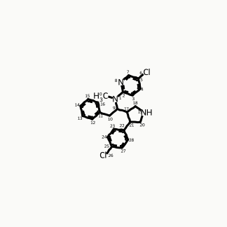 CN(c1ccc(Cl)cn1)C(Cc1ccccc1)C1CNCC1c1ccc(Cl)cc1